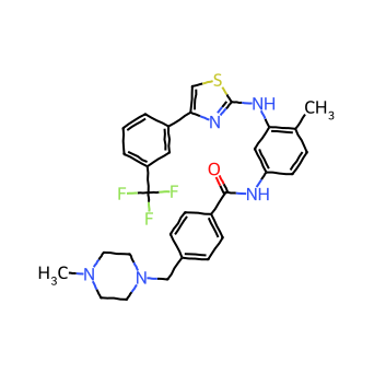 Cc1ccc(NC(=O)c2ccc(CN3CCN(C)CC3)cc2)cc1Nc1nc(-c2cccc(C(F)(F)F)c2)cs1